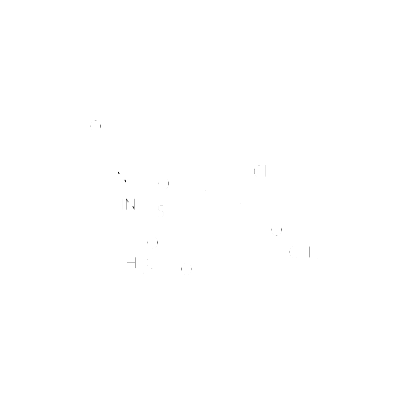 COc1cc(OC)c(S(=O)(=O)NN2CCOCC2)cc1Cl